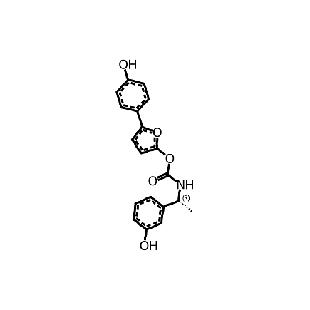 C[C@@H](NC(=O)Oc1ccc(-c2ccc(O)cc2)o1)c1cccc(O)c1